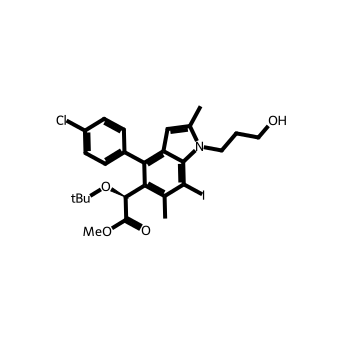 COC(=O)[C@@H](OC(C)(C)C)c1c(C)c(I)c2c(cc(C)n2CCCO)c1-c1ccc(Cl)cc1